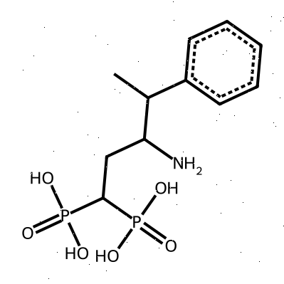 CC(c1ccccc1)C(N)CC(P(=O)(O)O)P(=O)(O)O